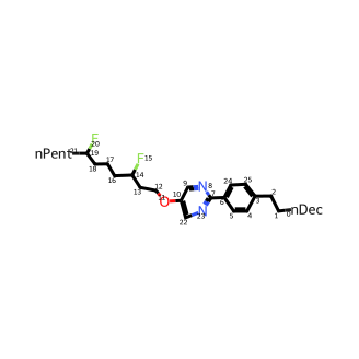 CCCCCCCCCCCCc1ccc(-c2ncc(OCCC(F)CCCC(F)CCCCC)cn2)cc1